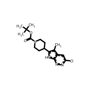 Cc1c(C2CCN(C(=O)OC(C)(C)C)CC2)[nH]c2nnc(Cl)cc12